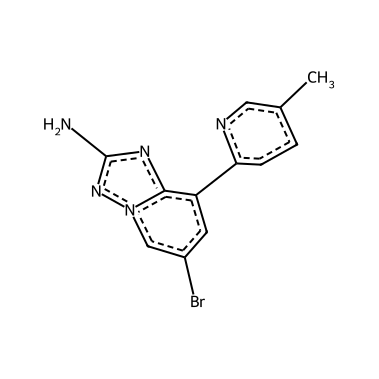 Cc1ccc(-c2cc(Br)cn3nc(N)nc23)nc1